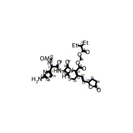 CCC(CC)C(=O)OCOC(=O)C1=C(/C=C/C2CCC(=O)O2)CS[C@@H]2[C@H](NC(=O)/C(=N\OC)c3csc(N)n3)C(=O)N12